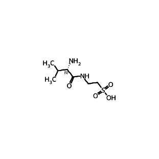 CC(C)[C@H](N)C(=O)NCCS(=O)(=O)O